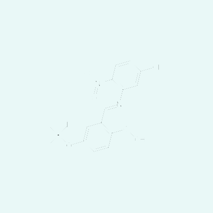 COc1ccc(OC(F)(F)F)cc1C=Nc1cc(C)ccc1[N+](=O)[O-]